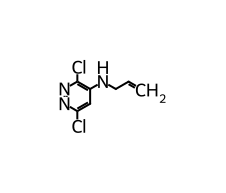 C=CCNc1cc(Cl)nnc1Cl